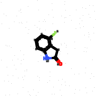 O=C1Cc2c(F)cccc2N1